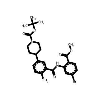 COC(=O)c1ccc(Br)cc1NC(=O)c1cc(C2CCN(C(=O)OC(C)(C)C)CC2)ccc1C